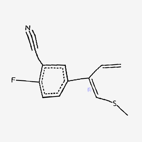 C=C/C(=C\SC)c1ccc(F)c(C#N)c1